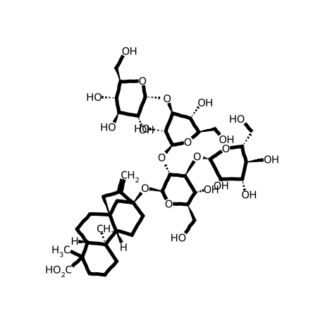 C=C1C[C@]23CC[C@H]4C(C)(C(=O)O)CCC[C@]4(C)[C@H]2CC[C@]1(O[C@@H]1O[C@H](CO)[C@@H](O)[C@H](O[C@@H]2O[C@H](CO)[C@@H](O)[C@H](O)[C@H]2O)[C@H]1O[C@@H]1O[C@H](CO)[C@@H](O)[C@H](O[C@H]2O[C@H](CO)[C@@H](O)[C@H](O)[C@H]2O)[C@H]1O)C3